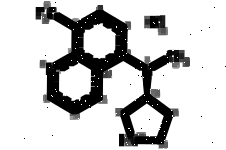 CN(c1ccc(C(F)(F)F)c2ncccc12)[C@H]1CCNC1.Cl